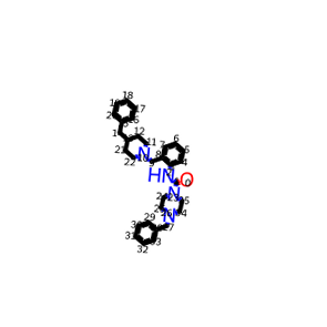 O=C(Nc1ccccc1CN1CCC(Cc2ccccc2)CC1)N1CCN(Cc2ccccc2)CC1